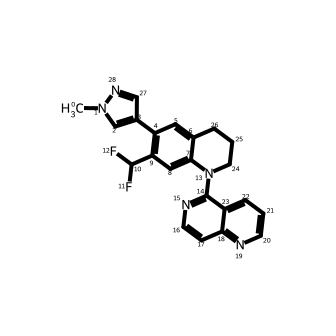 Cn1cc(-c2cc3c(cc2C(F)F)N(c2nccc4ncccc24)CCC3)cn1